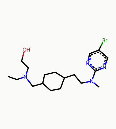 CCN(CCO)CC1CCC(CCN(C)c2ncc(Br)cn2)CC1